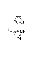 CCc1cn[nH]c1-c1ccco1